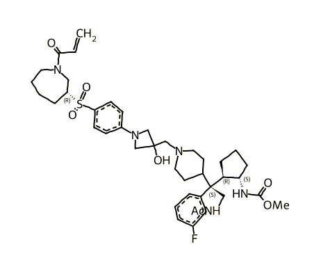 C=CC(=O)N1CCCC[C@@H](S(=O)(=O)c2ccc(N3CC(O)(CN4CCC([C@@](CNC(C)=O)(c5cccc(F)c5)[C@H]5CCC[C@@H]5NC(=O)OC)CC4)C3)cc2)C1